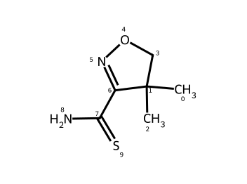 CC1(C)CON=C1C(N)=S